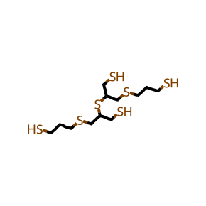 SCCCSCC(CS)SC(CS)CSCCCS